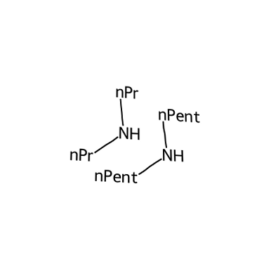 CCCCCNCCCCC.CCCNCCC